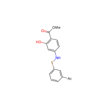 COC(=O)c1ccc(NSc2cccc(C(C)=O)c2)cc1O